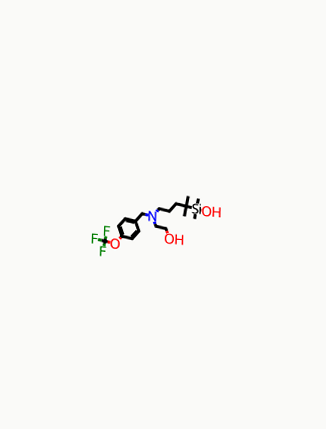 CC(C)(CCCN(CCO)Cc1ccc(OC(F)(F)F)cc1)[Si](C)(C)O